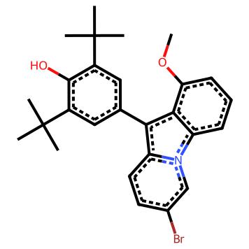 COc1cccc2c1c(-c1cc(C(C)(C)C)c(O)c(C(C)(C)C)c1)c1ccc(Br)cn12